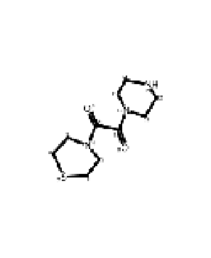 O=C(C(=O)N1CCSCC1)N1CCNCC1